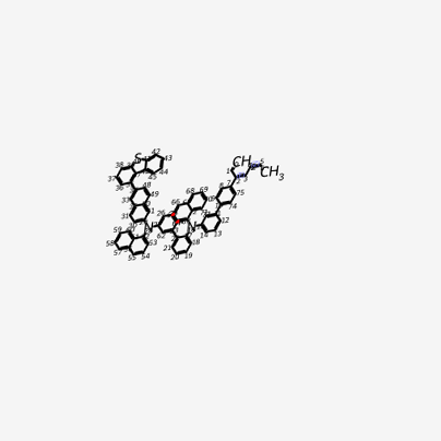 C=C/C(=C\C=C/C)c1ccc(-c2cccc(N(c3ccccc3-c3cccc(N(c4ccc5cc(-c6cccc7sc8ccccc8c67)ccc5c4)c4cccc5ccccc45)c3)c3cccc4ccccc34)c2)cc1